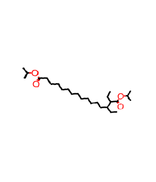 CCC(CCCCCCCCCCCCC(=O)OC(C)C)C(CC)C(=O)OC(C)C